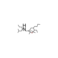 CCCCC(CC1C(CNC(CCC)CC(C)C)C1(C)C)C(CC)C(C)(C)C